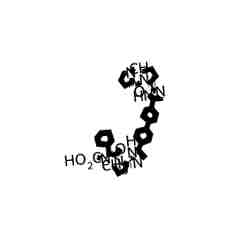 CN1CCC[C@H]1C(=O)N1CCC[C@H]1c1ncc(-c2ccc(-c3ccc(-c4cnc([C@@H]5CCCN5C(=O)[C@@H](c5ccccc5)N(C)C(=O)O)[nH]4)cc3)cc2)[nH]1